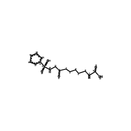 O=C(CCCCCNC(=O)O)CNS(=O)(=O)c1ccccn1